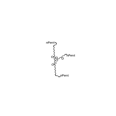 CCCCC/C=C\C/C=C\CCCCCCCC(=O)OCC(COC(=O)CCCCCCC/C=C\C/C=C\CCCCC)OC(=O)CCC(=O)CC/C=C\CCCCC